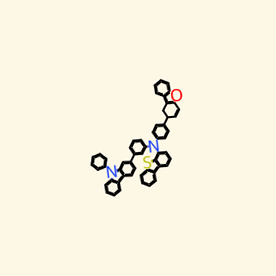 C1=CC(c2ccc(N(c3cccc(-c4ccc5c6ccccc6n(-c6ccccc6)c5c4)c3)c3cccc4c3sc3ccccc34)cc2)Cc2c1oc1ccccc21